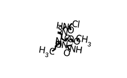 CCCO/N=C(\C(=O)N[C@H]1C(=O)N[C@H]1C(=O)OC)c1csc(NC(=O)CCl)n1